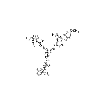 COc1ccc(Sc2nc(N)nc3c2ncn3CCOCP(=O)(OOCOC(=O)OCC(C)(C)C)OOCOC(=O)OCC(C)(C)C)cc1